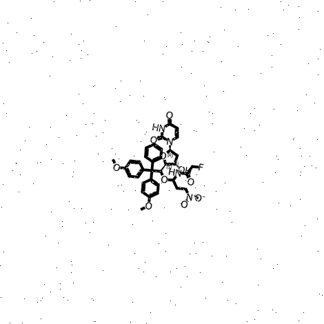 COc1ccc(C(c2ccccc2)(c2ccc(OC)cc2)C(OC(CC[N+](=O)[O-])NC(=O)CF)[C@H]2O[C@@H](n3ccc(=O)[nH]c3=O)C[C@@H]2O)cc1